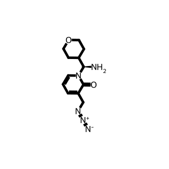 [N-]=[N+]=NCc1cccn([C@H](N)C2CCOCC2)c1=O